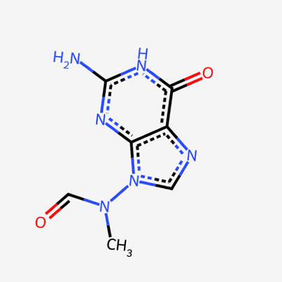 CN(C=O)n1cnc2c(=O)[nH]c(N)nc21